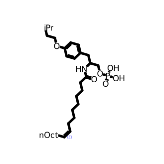 CCCCCCCC/C=C\CCCCCCCC(=O)NC(COP(=O)(O)O)Cc1ccc(OCCC(C)C)cc1